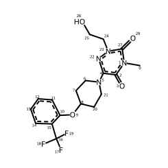 Cn1c(=O)c(N2CCC(Oc3ccccc3C(F)(F)F)CC2)nn(CCO)c1=O